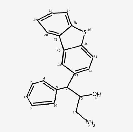 NCC(O)C(c1ccccc1)c1ccc2sc3ccccc3c2c1